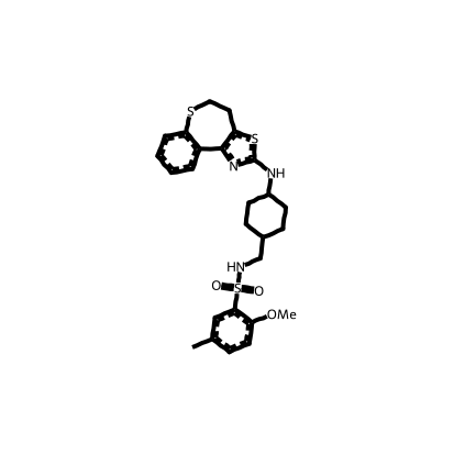 COc1ccc(C)cc1S(=O)(=O)NCC1CCC(Nc2nc3c(s2)CCSc2ccccc2-3)CC1